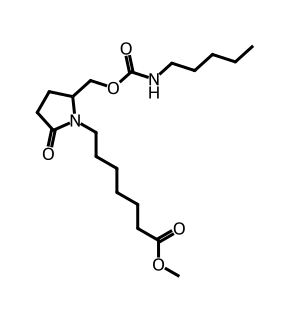 CCCCCNC(=O)OCC1CCC(=O)N1CCCCCCC(=O)OC